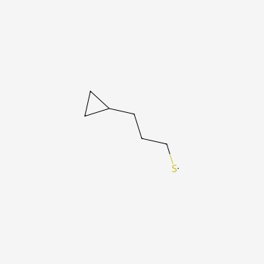 [S]CCCC1CC1